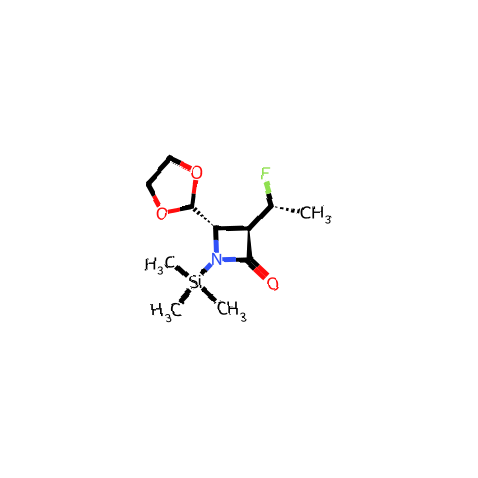 C[C@@H](F)[C@H]1C(=O)N([Si](C)(C)C)[C@@H]1C1OCCO1